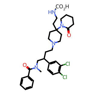 CN(CC(CCN1CCC(CCNC(=O)O)(N2CCCCC2=O)CC1)c1ccc(Cl)c(Cl)c1)C(=O)c1ccccc1